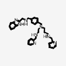 c1ccc(CNCCCN(CCNCc2ccccn2)Cc2ccc(CNCc3nc4ccccc4[nH]3)cc2)nc1